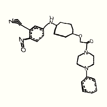 N#Cc1cc(NC2CCC(OCC(=O)N3CCN(c4ccccc4)CC3)CC2)ccc1N=O